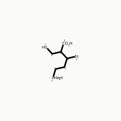 CCCCCCCCCC(CC)C(CS)C(=O)O